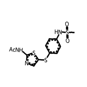 CC(=O)Nc1ncc(Sc2ccc(NS(C)(=O)=O)cc2)s1